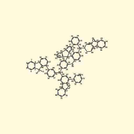 CC1(C)c2ccccc2-c2cccc(-c3cccc(N(c4ccc5c(c4)Sc4ccc(N(c6ccccc6)C6C=c7oc8ccccc8c7=CC6)cc4C54c5ccccc5-c5ccccc54)c4cc(-c5cccnc5)c5oc6ccccc6c5c4)c3)c21